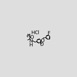 COc1cc(CCNC(C)C(=O)N(C)C)ccc1OCc1cccc(F)c1.Cl